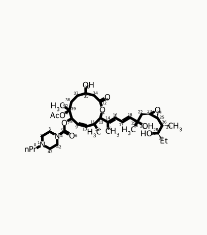 CCCN1CCN(C(=O)OC2C=CC(C)C(/C(C)=C/C=C/C(C)(O)C[C@H]3O[C@@H]3[C@H](C)[C@@H](O)CC)OC(=O)CC(O)CCC2(C)OC(C)=O)CC1